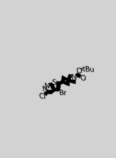 CC(C)(C)OC(=O)N1CC2(CC(c3sc4nnc(Cl)cc4c3Br)C2)C1